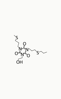 CCCSCCCn1c(=O)n(CCO)c(=O)n(CCCSC)c1=O